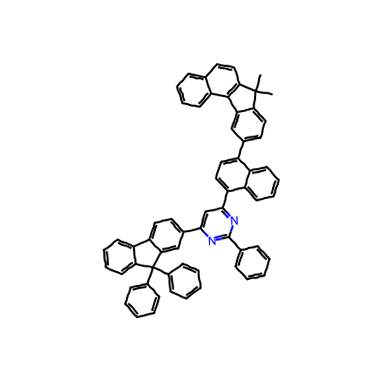 CC1(C)c2ccc(-c3ccc(-c4cc(-c5ccc6c(c5)C(c5ccccc5)(c5ccccc5)c5ccccc5-6)nc(-c5ccccc5)n4)c4ccccc34)cc2-c2c1ccc1ccccc21